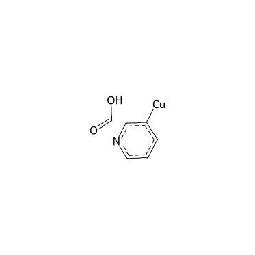 O=CO.[Cu][c]1cccnc1